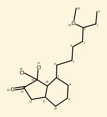 CCC(CCCCC1CCCC2CC(=O)C(Cl)(Cl)C12)OC